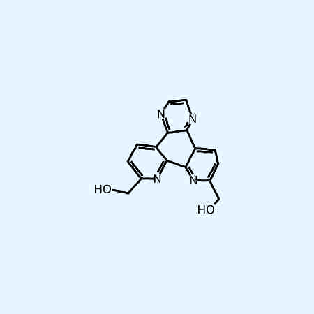 OCc1ccc2c3nccnc3c3ccc(CO)nc3c2n1